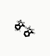 O=C1NS(=O)(=O)c2ccccc21.O=C1NS(=O)(=O)c2ccccc21.[CaH2]